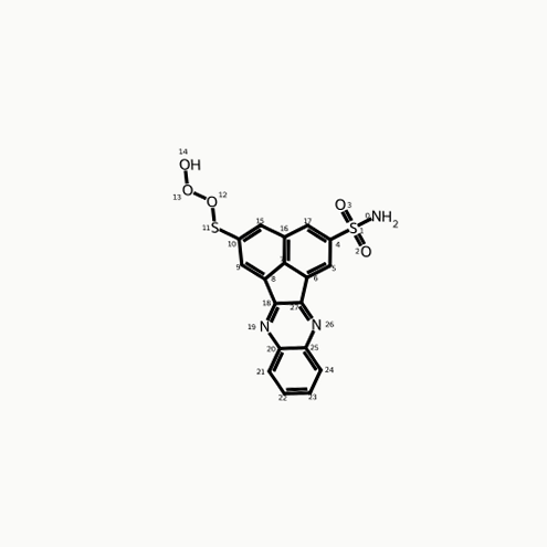 NS(=O)(=O)c1cc2c3c(cc(SOOO)cc3c1)-c1nc3ccccc3nc1-2